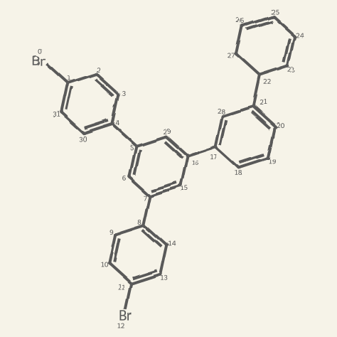 Brc1ccc(-c2cc(-c3ccc(Br)cc3)cc(-c3cccc(C4C=CC=CC4)c3)c2)cc1